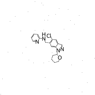 Clc1cc2cnn(C3CCCCO3)c2cc1CNc1ccccn1